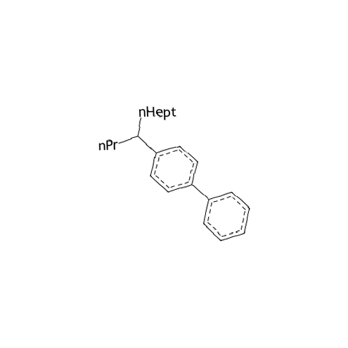 CCCCCCCC(CCC)c1ccc(-c2ccccc2)cc1